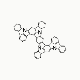 C1=CCC2C(=C1)C1Cc3c(c4cccc5c6ccccc6n3c45)-c3c1n2c1cc2c4c5c6cccc7c8ccccc8n(c5cc5c8ccccc8n(c2cc31)c54)c76